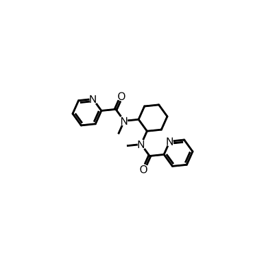 CN(C(=O)c1ccccn1)C1CCCCC1N(C)C(=O)c1ccccn1